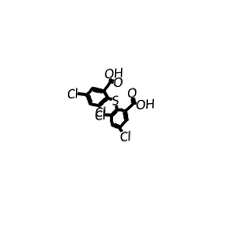 O=C(O)c1cc(Cl)cc(Cl)c1Sc1c(Cl)cc(Cl)cc1C(=O)O